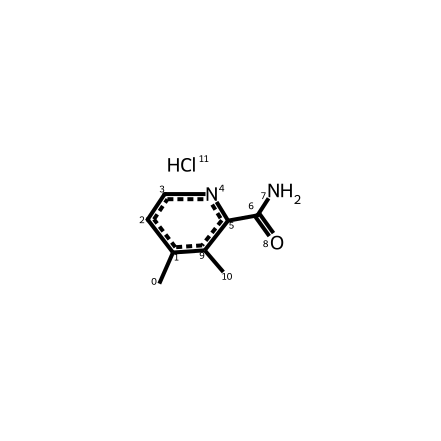 Cc1ccnc(C(N)=O)c1C.Cl